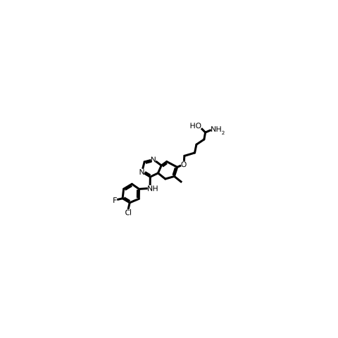 CC1=C(OCCCCC(N)O)C=C2N=CN=C(Nc3ccc(F)c(Cl)c3)C2C1